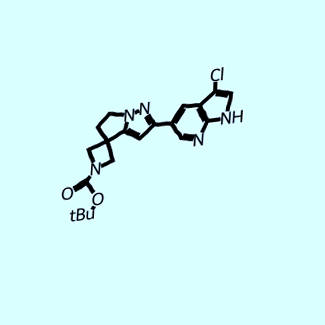 CC(C)(C)OC(=O)N1CC2(CCn3nc(-c4cnc5[nH]cc(Cl)c5c4)cc32)C1